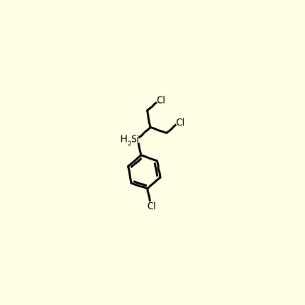 ClCC(CCl)[SiH2]c1ccc(Cl)cc1